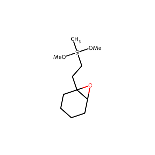 CO[Si](C)(CCC12CCCCC1O2)OC